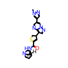 Cn1cc(-c2cnc3c(C4C=C(C(=O)N[C@H]5CN6CCC5CC6)SC4)cnn3c2)cn1